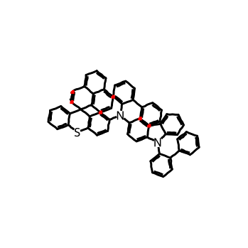 c1ccc(-c2ccccc2N(c2ccc3c(c2)C2(c4ccccc4S3)c3ccccc3-c3cccc4cccc2c34)c2ccc3c(c2)c2ccccc2n3-c2ccccc2-c2ccccc2)cc1